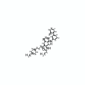 C=CC(=O)Nc1cc2c(Nc3cccc(-c4ccccc4F)c3)ncnc2cc1OCCCN1CCN(C)CC1